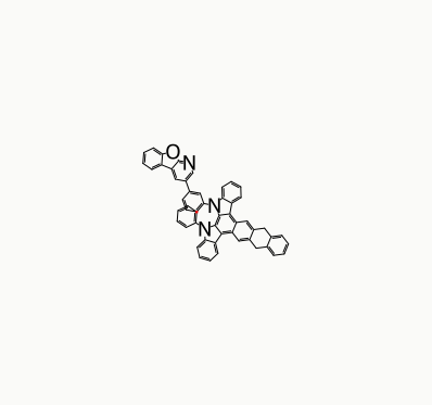 c1ccc(-n2c3ccccc3c3c4cc5c(cc4c4c6ccccc6n(-c6cccc(-c7cnc8oc9ccccc9c8c7)c6)c4c32)Cc2ccccc2C5)cc1